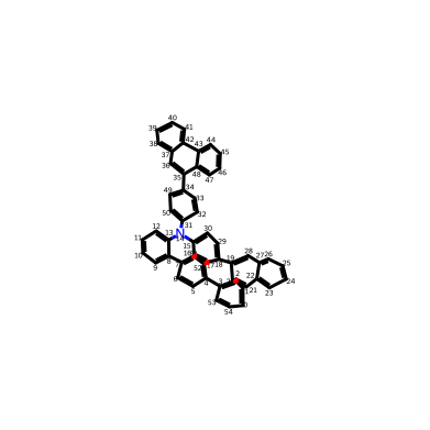 c1ccc(-c2ccc(-c3ccccc3N(c3ccc(-c4ccc5ccccc5c4)cc3)c3ccc(-c4cc5ccccc5c5ccccc45)cc3)cc2)cc1